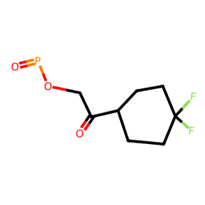 O=POCC(=O)C1CCC(F)(F)CC1